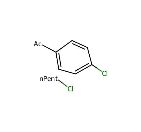 CC(=O)c1ccc(Cl)cc1.CCCCCCl